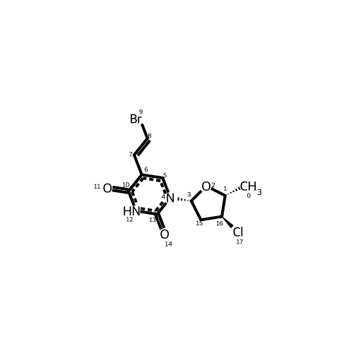 C[C@H]1O[C@@H](n2cc(C=CBr)c(=O)[nH]c2=O)C[C@@H]1Cl